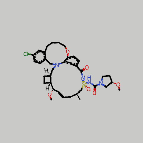 CO[C@@H]1CCN(C(=O)NS2(=O)=NC(=O)c3ccc4c(c3)N(Cc3ccc(Cl)cc3CCCCO4)C[C@@H]3CC[C@H]3[C@@H](OC)/C=C/C[C@H](C)C2)C1